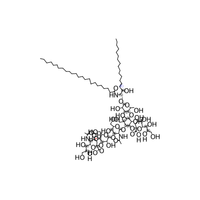 CCCCCCCCCCCCC/C=C/[C@@H](O)[C@H](CO[C@@H]1OC(CO)[C@@H](O[C@@H]2OC(CO)[C@H](O[C@@H]3OC(CO)[C@H](O)[C@H](O[C@@H]4OC(CO)[C@H](O)[C@H](O[C@]5(C(=O)O)CC(O)[C@@H](NC(C)=O)C([C@H](O)[C@H](O)CO)O5)C4O)C3NC(C)=O)[C@H](O[C@]3(C(=O)O)CC(O)[C@@H](O)C([C@H](O)[C@H](O)CO)O3)C2O)[C@H](O)C1O)NC(=O)CCCCCCCCCCCCCCCCCCCCCCC